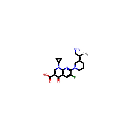 C/C(CN)=C1\CCCN(c2nc3c(cc2F)c(=O)c(C(=O)O)cn3C2CC2)C1